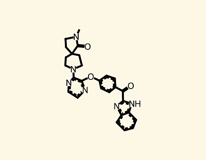 CN1CCC2(CCN(c3nccnc3Oc3ccc(C(=O)c4nc5ccccc5[nH]4)cc3)CC2)C1=O